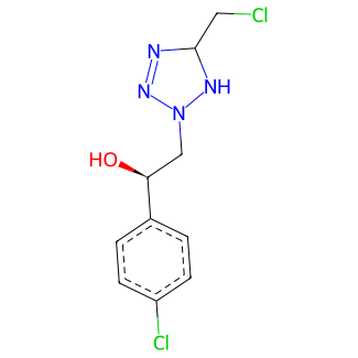 O[C@@H](CN1N=NC(CCl)N1)c1ccc(Cl)cc1